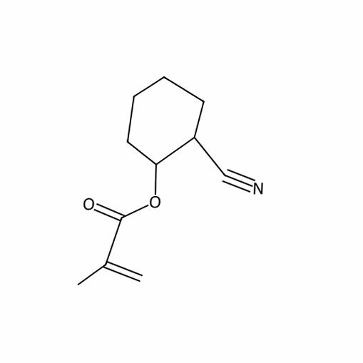 C=C(C)C(=O)OC1CCCCC1C#N